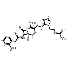 NC(=O)NCCn1nnnc1SCC1=C(C(=O)O)N2C(=O)C(NC(=O)Cc3ccccc3S(=O)(=O)O)[C@H]2SC1